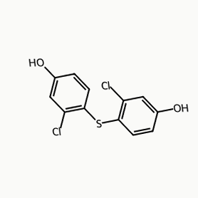 Oc1ccc(Sc2ccc(O)cc2Cl)c(Cl)c1